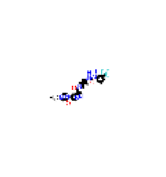 CN1CCN(c2ccn3ncc(C(=O)N4CC5(CC(NC(=O)Nc6cccc(C(F)(F)F)c6)C5)C4)c3c2)C(=O)C1